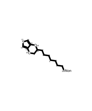 CCCCCCCCCCCCCCCCC1COc2cscc2O1